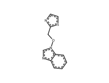 [c]1nc2ccccc2n1OCc1nccs1